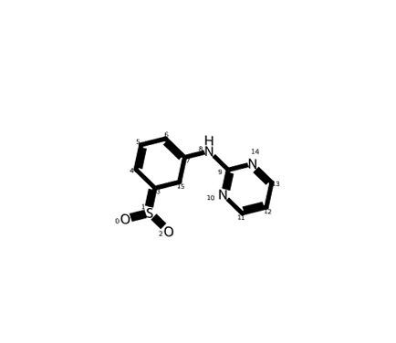 O=S(=O)=C1C=CC=C(Nc2ncccn2)C1